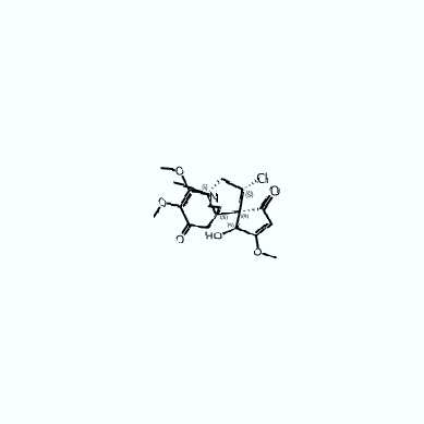 COC1=CC(=O)[C@@]2([C@@H]1O)[C@@H](Cl)C[C@@]13C(OC)=C(OC)C(=O)C[C@@]21CCN3C